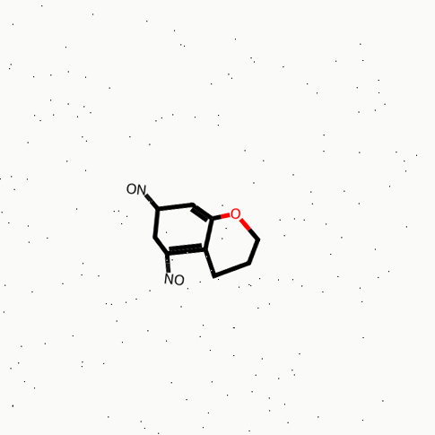 O=NC1=C2CCCOC2=CC(N=O)C1